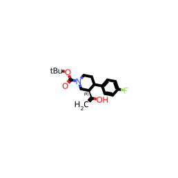 C=C(O)[C@H]1CN(C(=O)OC(C)(C)C)CCC1c1ccc(F)cc1